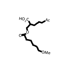 COCCCCCC(=O)OCC(CCCC(C)=O)C(=O)O